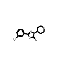 Cc1cccc(-c2nn(C3CCOCC3)c(=O)o2)c1